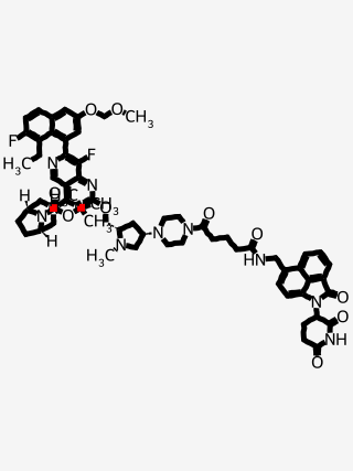 CCc1c(F)ccc2cc(OCOC)cc(-c3ncc4c(N5C[C@H]6CC[C@@H](C5)N6C(=O)OC(C)(C)C)nc(OC[C@@H]5C[C@H](N6CCN(C(=O)CCCC(=O)NCc7ccc8c9c(cccc79)C(=O)N8C7CCC(=O)NC7=O)CC6)CN5C)nc4c3F)c12